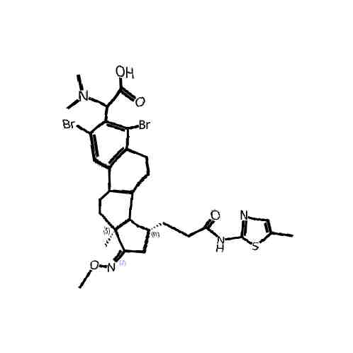 CO/N=C1/C[C@@H](CCC(=O)Nc2ncc(C)s2)C2C3CCc4c(cc(Br)c(C(C(=O)O)N(C)C)c4Br)C3CC[C@]12C